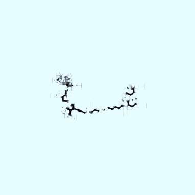 Nc1ncnc2c1c(C#CCNC(=O)CCSSCCCCC(=O)NC(CC(=O)O)C(=O)NC(CC(=O)O)C(=O)O)cn2C1CC(O)C(COP(=O)(O)OP(=O)(O)OP(=O)(O)O)O1